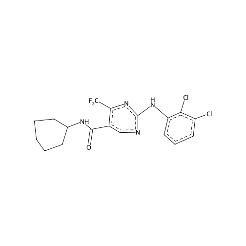 O=C(NC1CCCCC1)c1cnc(Nc2cccc(Cl)c2Cl)nc1C(F)(F)F